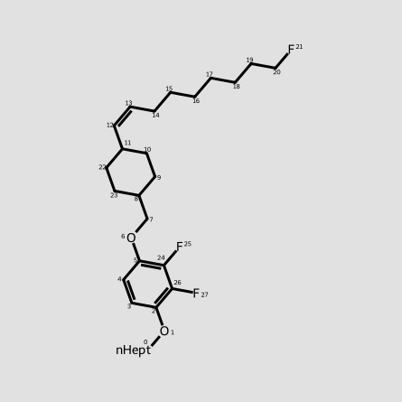 CCCCCCCOc1ccc(OCC2CCC(/C=C\CCCCCCCF)CC2)c(F)c1F